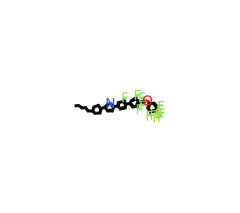 CCCCCC1CCC(c2ccc(-c3ccc(-c4cc(F)c(C(F)(F)Oc5cc(F)c(S(F)(F)(F)(F)F)c(F)c5)c(F)c4)c(F)c3)nc2)CC1